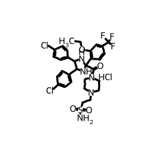 CCOc1cc(C(F)(F)F)ccc1C1(C(=O)N2CCN(CCS(N)(=O)=O)CC2)NC(c2ccc(Cl)cc2)C(c2ccc(Cl)cc2)N1.Cl